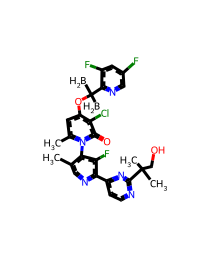 BC(B)(Oc1cc(C)n(-c2c(C)cnc(-c3ccnc(C(C)(C)CO)n3)c2F)c(=O)c1Cl)c1ncc(F)cc1F